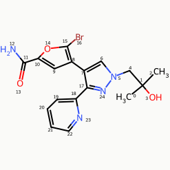 CC(C)(O)Cn1cc(-c2cc(C(N)=O)oc2Br)c(-c2ccccn2)n1